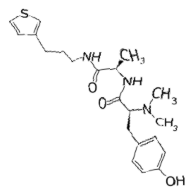 C[C@@H](NC(=O)[C@H](Cc1ccc(O)cc1)N(C)C)C(=O)NCCCc1ccsc1